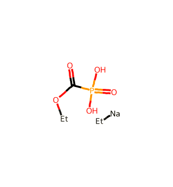 CCOC(=O)P(=O)(O)O.C[CH2][Na]